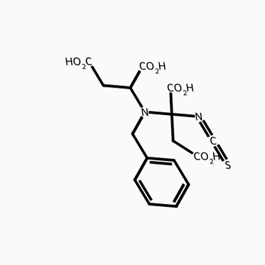 O=C(O)CC(C(=O)O)N(Cc1ccccc1)C(CC(=O)O)(N=C=S)C(=O)O